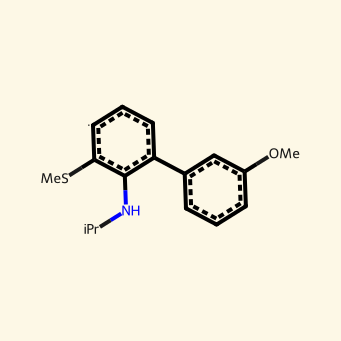 COc1cccc(-c2cc[c]c(SC)c2NC(C)C)c1